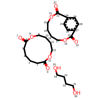 O=C1CCCCC(=O)OCCCCO1.O=C1OCCCCOC(=O)c2ccc1cc2.OCCCCO